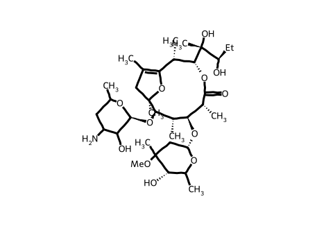 CC[C@@H](O)[C@@](C)(O)[C@@H]1OC(=O)[C@H](C)[C@@H](O[C@H]2CC(C)(OC)[C@@H](O)C(C)O2)[C@H](C)[C@@H](O[C@@H]2OC(C)CC(N)C2O)[C@@]2(C)CC(C)=C(O2)[C@@H]1C